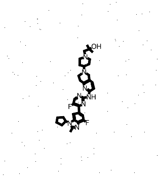 Cc1nc2c(F)cc(-c3nc(Nc4ccc5c(n4)CCN(C4CCN(CC(C)(C)O)CC4)C5)ncc3F)cc2n1C1CCCC1